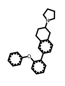 c1ccc(Oc2ccccc2-c2ccc3c(c2)CCC(N2CCCC2)C3)cc1